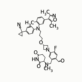 Cc1ccc(-c2c(C)noc2C)cc1N(CCCOC1CN(c2cc(CN(C)C3CCC(=O)NC3=O)c(C=O)cc2F)C1)c1ccc(C2(C#N)CC2)cc1